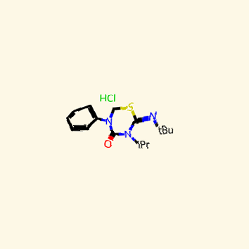 CC(C)N1C(=O)N(c2ccccc2)CSC1=NC(C)(C)C.Cl